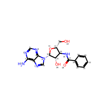 Nc1ncnc2c1ncn2[C@@H]1O[C@H](CO)C(NC(=O)c2ccccc2)[C@@H]1O